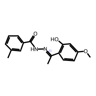 COc1ccc(/C(C)=N/NC(=O)c2cccc(C)c2)c(O)c1